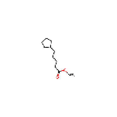 O=C(CCCCC1CCCC1)O[SiH3]